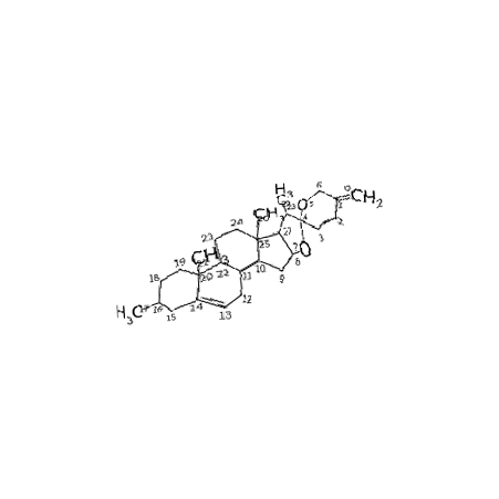 C=C1CCC2(OC1)OC1CC3C4CC=C5CC(C)CCC5(C)C4CCC3(C)C1C2C